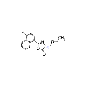 CCO/C=C1\N=C(c2ccc(F)c3ccccc23)OC1=O